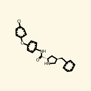 O=C(Nc1ccc(Oc2ccc(Cl)cc2)cc1)[C@@H]1C[C@@H](Cc2ccccc2)CN1